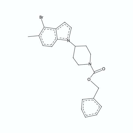 Cc1ccc2c(ccn2C2CCN(C(=O)OCc3ccccc3)CC2)c1Br